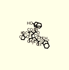 CCOC(=O)C(C)(CC)CC(C)(CC(C)(CC(C)(C)C(=O)OC1(CC)C(C)CC2CCCC1C2)C(=O)OC1CCOC1=O)C(=O)OC12CC3CC(CC(O)(C3)C1)C2